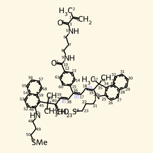 C=C(C)C(=O)NCCCNC(=O)c1ccc(C(=C\C=C2/N(CCCS(=O)(=O)O)c3ccc4ccccc4c3C2(C)C)/C=C/C(=C)C(C)(C)c2c(NCCCSC)ccc3ccccc23)cc1